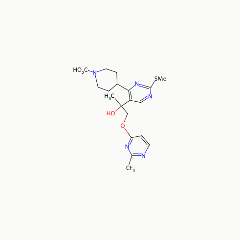 CSc1ncc(C(C)(O)COc2ccnc(C(F)(F)F)n2)c(C2CCN(C(=O)O)CC2)n1